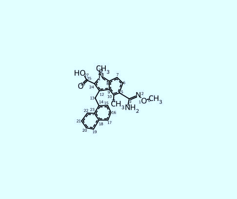 CON=C(N)c1ccc2c(c1C)c(Cc1cccc3ccccc13)c(C(=O)O)n2C